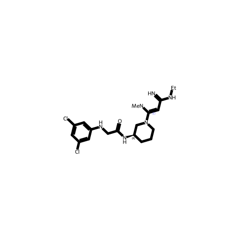 CCNC(=N)/C=C(\NC)N1CCC[C@@H](NC(=O)CNc2cc(Cl)cc(Cl)c2)C1